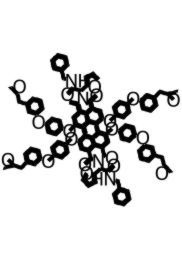 C=c1c2cc(Oc3ccc(Oc4cccc(CC5CO5)c4)cc3)c3c4c(Oc5ccc(Oc6cccc(CC7CO7)c6)cc5)cc5c6c(cc(Oc7ccc(Oc8cccc(CC9CO9)c8)cc7)c(c7c(Oc8ccc(Oc9cccc(CC%10CO%10)c9)cc8)cc(c(=O)n1C(C(=O)NCc1ccccc1)c1ccco1)c2c37)c64)C(=O)N(C(C(=O)NCc1ccccc1)c1ccco1)C5=O